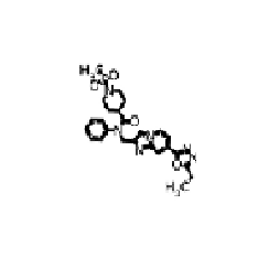 CCc1nnc(-c2ccn3cc(CN(C(=O)C4CCN(S(C)(=O)=O)CC4)c4ccccc4)nc3c2)o1